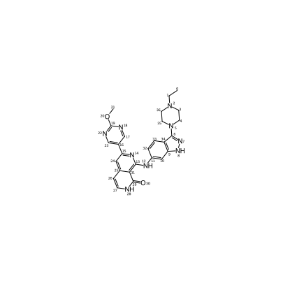 CCN1CCN(c2n[nH]c3cc(Nc4nc(-c5cnc(OC)nc5)cc5cc[nH]c(=O)c45)ccc23)CC1